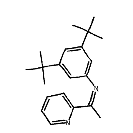 CC(=Nc1cc(C(C)(C)C)cc(C(C)(C)C)c1)c1ccccn1